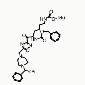 CCCC(c1ccccc1)N1CCN(Cc2nc(C(=O)C(CCCCNC(=O)OC(C)(C)C)NC(=O)OCc3ccccc3)no2)CC1